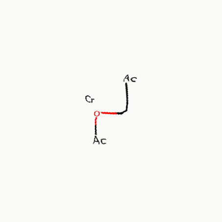 CC(=O)COC(C)=O.[Cr]